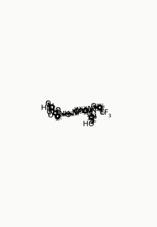 O=C1CCC(C2C(=O)c3cccc(NCCOCCN4CCN(Cc5ccc6c(c5)nc(NC(=O)c5cccc(C(F)(F)F)c5)n6C5CCC(CO)CC5)CC4)c3C2=O)C(=O)N1